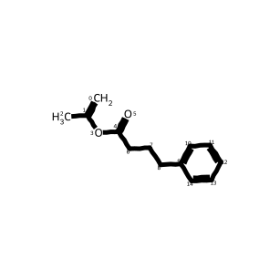 C=C(C)OC(=O)CCCc1ccccc1